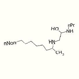 CCCCCCCCCCCCCCCC(C)NCC(O)NCCC